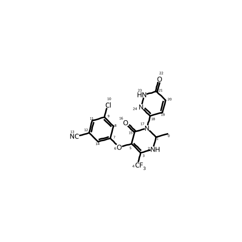 CC1NC(C(F)(F)F)=C(Oc2cc(Cl)cc(C#N)c2)C(=O)N1c1ccc(=O)[nH]n1